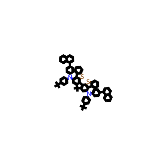 CC(C)(C)c1ccc(N(c2ccc(-c3cccc4ccccc34)cc2)c2cc3c(c4sc5ccccc5c24)-c2c(cc(N(c4ccc(-c5cccc6ccccc56)cc4)c4ccc(C(C)(C)C)cc4)c4c2sc2ccccc24)C3(C)C)cc1